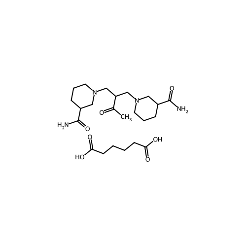 CC(=O)C(CN1CCCC(C(N)=O)C1)CN1CCCC(C(N)=O)C1.O=C(O)CCCCC(=O)O